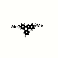 COc1ccc(C2=C(c3ccc(I)cc3)c3ccc(OC)cc3C2)cc1